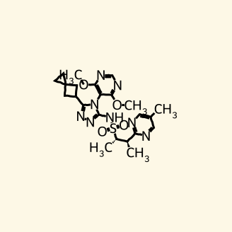 COc1ncnc(OC)c1-n1c(NS(=O)(=O)[C@@H](C)[C@H](C)c2ncc(C)cn2)nnc1C1CC2(CC2)C1